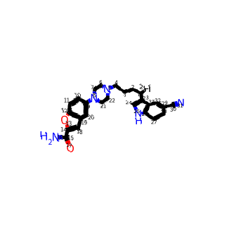 [2H]C(CCCN1CCN(c2ccc3oc(C(N)=O)cc3c2)CC1)c1c[nH]c2ccc(C#N)cc12